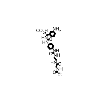 CCC(=O)NCC(=O)NCCNC(=O)Nc1ccc(NC(=O)N[C@H](CC(=O)O)c2cccc(N)c2)cc1